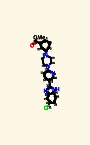 COC(=O)c1cccc(N2CCN(c3ccc(-c4nc5cc(Cl)ccc5[nH]4)cn3)CC2)c1